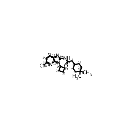 CC1(C)CCC(CC(=O)Nc2nc3ccc(Cl)nc3n2C2CCC2)CC1